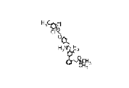 Cc1cc(Cl)c(OCCOc2ccc(CC(N)Cc3ccc(-c4ccccc4CCC(=O)N(C)C)cc3C)cc2)c(Cl)c1